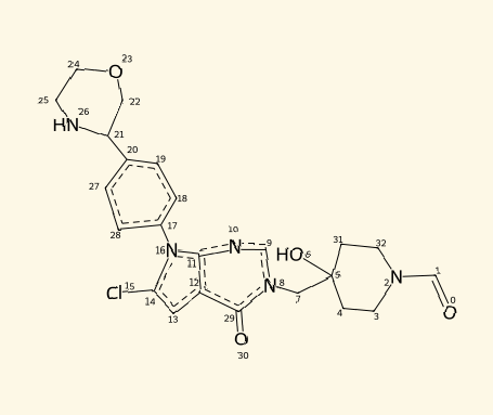 O=CN1CCC(O)(Cn2cnc3c(cc(Cl)n3-c3ccc(C4COCCN4)cc3)c2=O)CC1